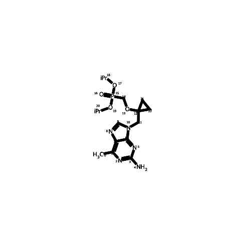 Cc1nc(N)nc2c1ncn2CC1(OCP(=O)(OC(C)C)OC(C)C)CC1